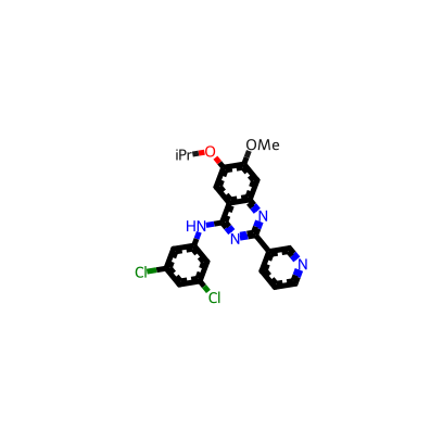 COc1cc2nc(-c3cccnc3)nc(Nc3cc(Cl)cc(Cl)c3)c2cc1OC(C)C